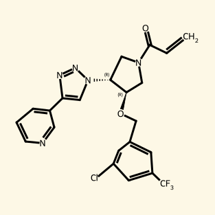 C=CC(=O)N1C[C@@H](n2cc(-c3cccnc3)nn2)[C@H](OCc2cc(Cl)cc(C(F)(F)F)c2)C1